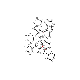 c1ccc(-c2ccc(-c3c(N(c4ccc5c(c4)sc4ccccc45)c4ccccc4-c4ccc5c(c4)oc4ccccc45)c4ccccc4c4ccccc34)cc2)cc1